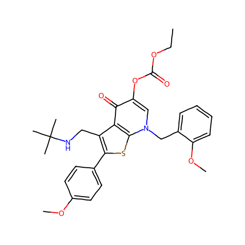 CCOC(=O)Oc1cn(Cc2ccccc2OC)c2sc(-c3ccc(OC)cc3)c(CNC(C)(C)C)c2c1=O